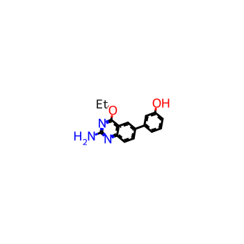 CCOc1nc(N)nc2ccc(-c3cccc(O)c3)cc12